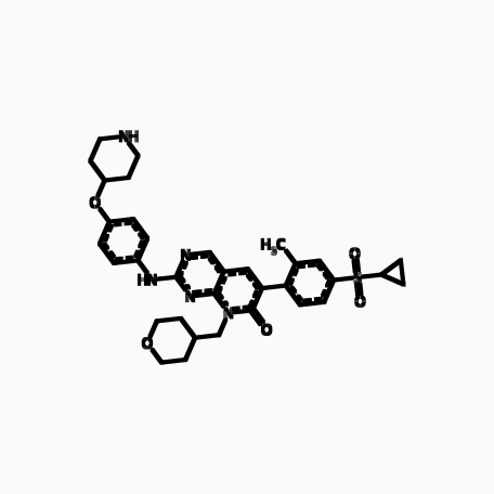 Cc1cc(S(=O)(=O)C2CC2)ccc1-c1cc2cnc(Nc3ccc(OC4CCNCC4)cc3)nc2n(CC2CCOCC2)c1=O